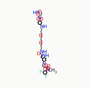 CN(C(=O)C1(O)CCN(c2ccc3[nH]c(C(=O)NCCCCOCCCOCCCCNc4ccc5c(c4)ON(C4CCONO4)O5)cc3c2)O1)c1cc(F)cc(F)c1